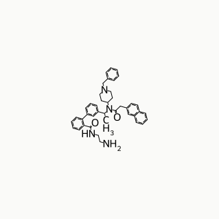 CC(c1cccc(-c2ccccc2C(=O)NCCN)c1)N(C(=O)Cc1ccc2ccccc2c1)C1CCN(Cc2ccccc2)CC1